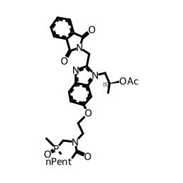 CCCCCC(=O)N(CCOc1ccc2nc(CN3C(=O)c4ccccc4C3=O)n(C[C@H](C)OC(C)=O)c2c1)CP(C)(C)=O